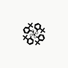 CC(C)(C)c1ccccc1O[Si](Oc1ccccc1C(C)(C)C)(Oc1ccccc1C(C)(C)C)Oc1ccccc1C(C)(C)C